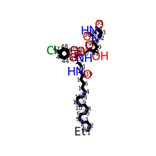 CC/C=C\C/C=C\C/C=C\C/C=C\C/C=C\CCCC(=O)NCCNP(=O)(OC[C@H]1O[C@@H](n2ccc(=O)[nH]c2=O)C[C@@H]1O)Oc1ccc(Cl)cc1